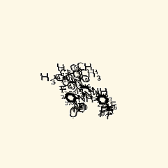 CC(C)(C)OC(=O)N(C(=O)OC(C)(C)C)c1cc(Nc2ccc(C(F)(F)F)cc2)nc(Nc2cc(F)ccc2[N+](=O)[O-])n1